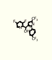 OC(c1ncc(F)cc1F)c1cc(C(F)(F)F)nn1-c1ccc(C(F)(F)F)cc1